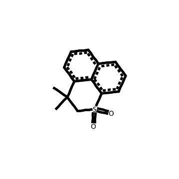 CC1(C)CS(=O)(=O)c2cccc3cccc1c23